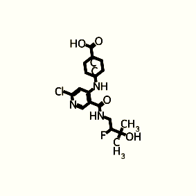 CC(C)(O)C(F)CNC(=O)c1cnc(Cl)cc1NC12CCC(C(=O)O)(CC1)CC2